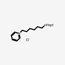 CCCCCCCCCCCCC[n+]1ccccc1.[Cl-]